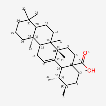 C[C@@H]1CCC2(C(=O)O)CC[C@]3(C)C(=CCC4C3(C)CCC3C(C)(C)CCC[C@@]34C)C2[C@H]1C